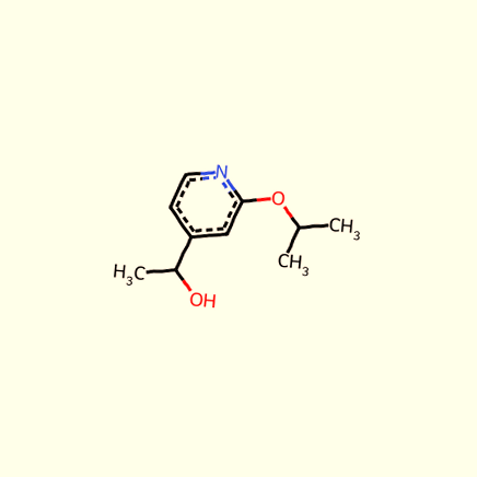 CC(C)Oc1cc(C(C)O)ccn1